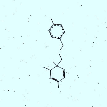 Cc1ccc(CNCC2(C)C=CC(I)=CC2I)cc1